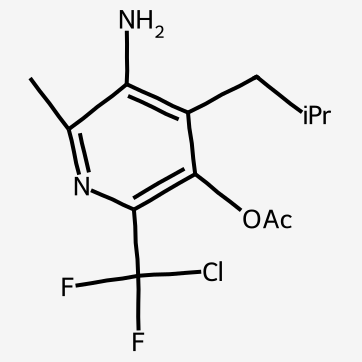 CC(=O)Oc1c(C(F)(F)Cl)nc(C)c(N)c1CC(C)C